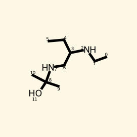 CCNC(CC)CNC(C)(C)O